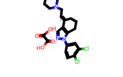 Clc1ccc(-n2ncc3c2CCC/C3=C\CN2CCCCC2)cc1Cl.O=C(O)C(=O)O